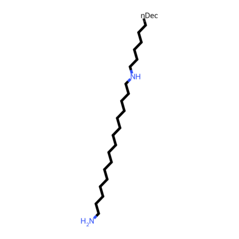 CCCCCCCCCCCCCCCCNCCCCCCCCCCCCCCCCN